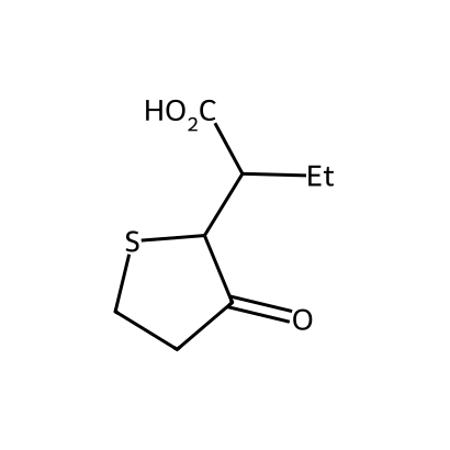 CCC(C(=O)O)C1SCCC1=O